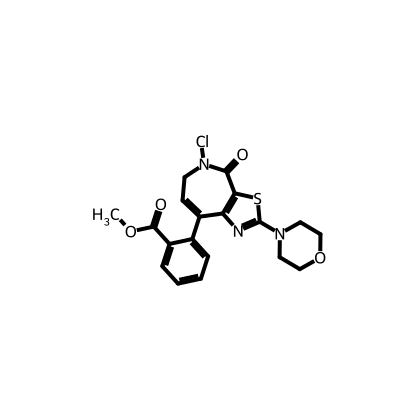 COC(=O)c1ccccc1C1=CCN(Cl)C(=O)c2sc(N3CCOCC3)nc21